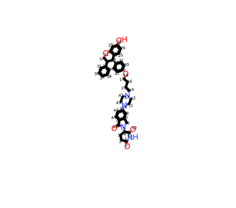 O=C1CCC(N2Cc3cc(N4CCN(CCCCOc5ccc([C@@H]6c7ccc(O)cc7OCC6c6ccccc6)cc5)CC4)ccc3C2=O)C(=O)N1